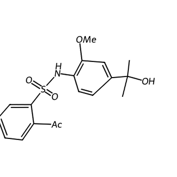 COc1cc(C(C)(C)O)ccc1NS(=O)(=O)c1ccccc1C(C)=O